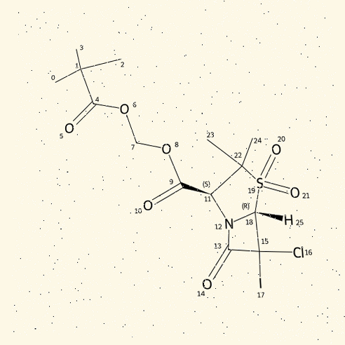 CC(C)(C)C(=O)OCOC(=O)[C@@H]1N2C(=O)C(Cl)(I)[C@H]2S(=O)(=O)C1(C)C